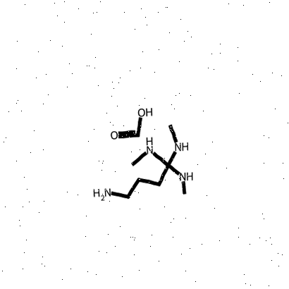 CNC(CCCN)(NC)NC.O=CO